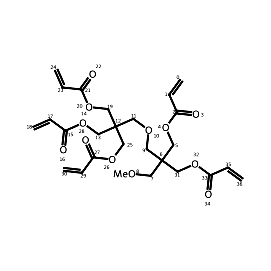 C=CC(=O)OCC(COC)(COCC(COC(=O)C=C)(COC(=O)C=C)COC(=O)C=C)COC(=O)C=C